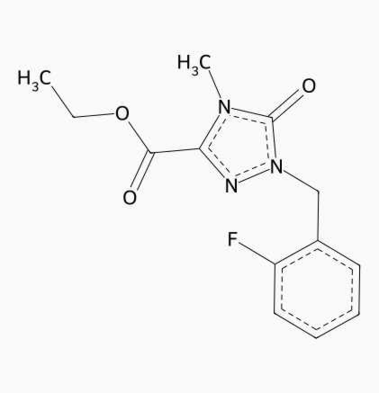 CCOC(=O)c1nn(Cc2ccccc2F)c(=O)n1C